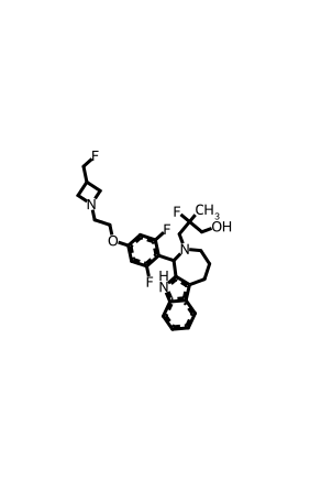 CC(F)(CO)CN1CCCc2c([nH]c3ccccc23)C1c1c(F)cc(OCCN2CC(CF)C2)cc1F